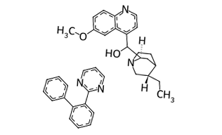 CC[C@@H]1CN2CCC1C[C@@H]2C(O)c1ccnc2ccc(OC)cc12.c1ccc(-c2ccccc2-c2ncccn2)cc1